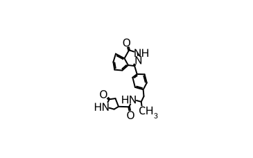 CC(Cc1ccc(-c2n[nH]c(=O)c3ccccc23)cc1)NC(=O)C1CNC(=O)C1